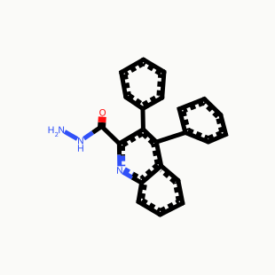 NNC(=O)c1nc2ccccc2c(-c2ccccc2)c1-c1ccccc1